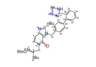 CCCCc1nc2ccn(CC(=NOC)C(C)(C)C)c(=O)c2n1Cc1ccc(-c2ccccc2-c2nnn[nH]2)cc1